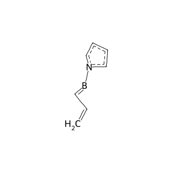 C=CC=Bn1cccc1